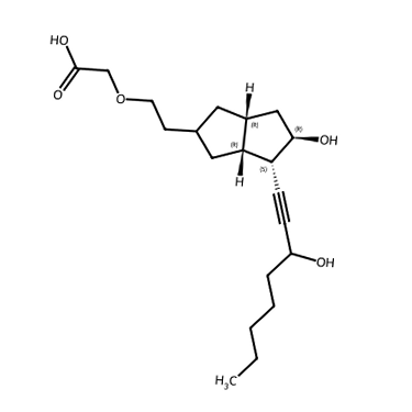 CCCCCC(O)C#C[C@@H]1[C@@H]2CC(CCOCC(=O)O)C[C@@H]2C[C@H]1O